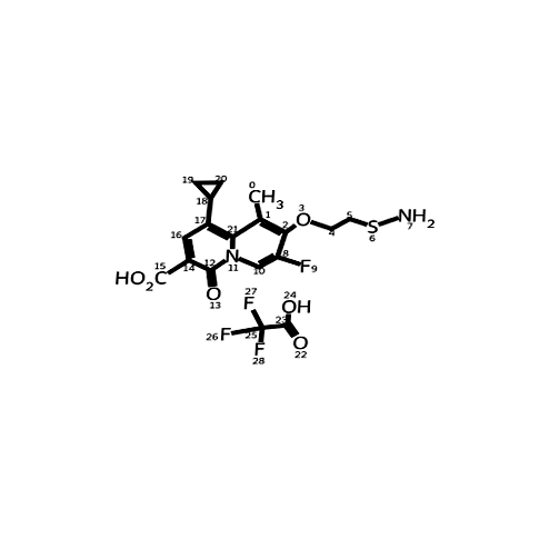 Cc1c(OCCSN)c(F)cn2c(=O)c(C(=O)O)cc(C3CC3)c12.O=C(O)C(F)(F)F